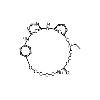 CCN1CCCC(=O)NCCCCOc2ccc(cc2)Nc2cc(ncn2)Nc2cccc(c2)C1